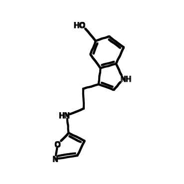 Oc1ccc2[nH]cc(CCNc3ccno3)c2c1